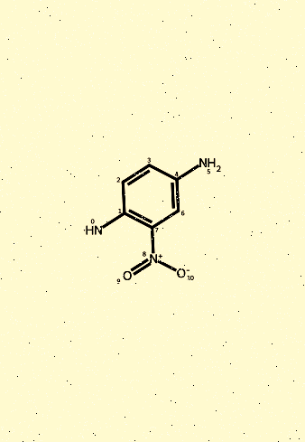 [NH]c1ccc(N)cc1[N+](=O)[O-]